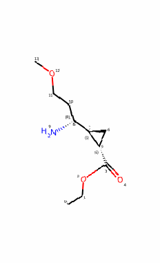 CCOC(=O)[C@H]1C[C@@H]1[C@H](N)CCOC